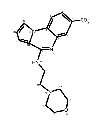 O=C(O)c1ccc2c(c1)nc(NCCN1CCOCC1)c1cccn12